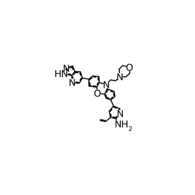 C=Cc1cc(-c2ccc3c(c2)Oc2cc(-c4cnc5[nH]ncc5c4)ccc2N3CCN2CCOCC2)cnc1N